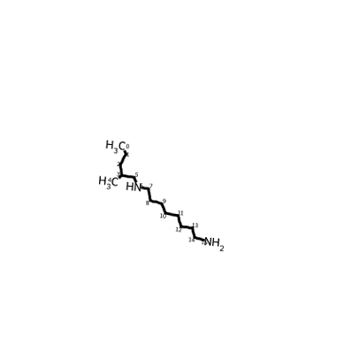 CCCC(C)CNCCCCCCCCN